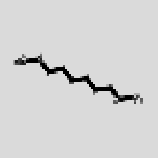 CCCCOCCCCCCSC(F)(F)F